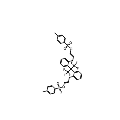 Cc1ccc(S(=O)(=O)O/C=C/Cc2ccccc2C(c2ccccc2C/C=C/OS(=O)(=O)c2ccc(C)cc2)(C(F)(F)F)C(F)(F)F)cc1